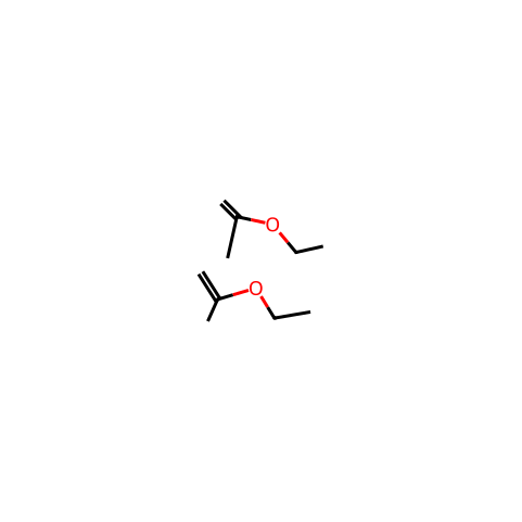 C=C(C)OCC.C=C(C)OCC